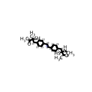 CNC(S)(Cc1ccc(/C=C/c2ccc(CC(C)(S)C(C)=O)cc2)cc1)C(C)=O